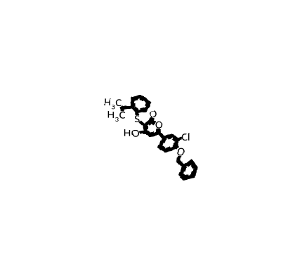 CC(C)c1ccccc1Sc1c(O)cc(-c2ccc(OCc3ccccc3)c(Cl)c2)oc1=O